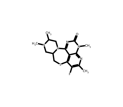 Cc1nc2c3c(nc(=O)n2C)N2CC(C)N(C)CC2CSc3c1F